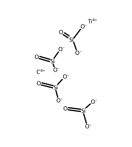 O=[Si]([O-])[O-].O=[Si]([O-])[O-].O=[Si]([O-])[O-].O=[Si]([O-])[O-].[C+4].[Ti+4]